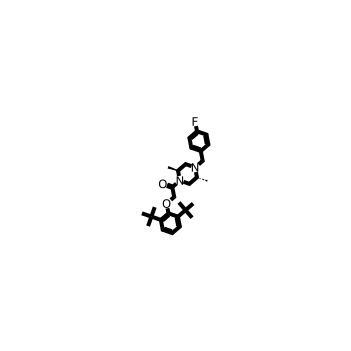 C[C@@H]1CN(C(=O)COc2c(C(C)(C)C)cccc2C(C)(C)C)[C@@H](C)CN1Cc1ccc(F)cc1